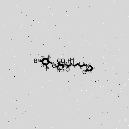 O=C(NCCCCN1CC=CC1=O)Nc1snc(OCc2c(F)cc(Br)cc2F)c1C(=O)O